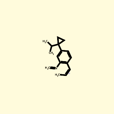 C=Nc1cc(C2(C(C)C)CC2)ccc1/C=C\C